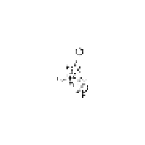 CC(C)C[C@H](NC(=O)OCc1ccccc1)C(=O)N[C@H](C=O)C[C@@H]1CCCNC1=O